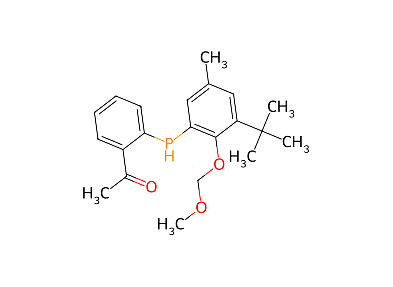 COCOc1c(Pc2ccccc2C(C)=O)cc(C)cc1C(C)(C)C